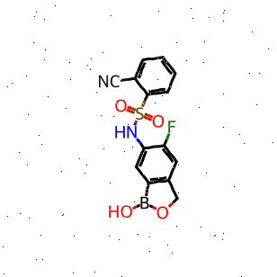 N#Cc1ccccc1S(=O)(=O)Nc1cc2c(cc1F)COB2O